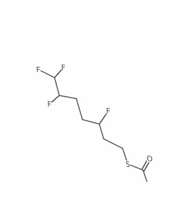 CC(=O)SCCC(F)CCC(F)C(F)F